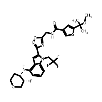 COC(C)(C)c1cc(C(=O)NCc2nc(-c3cc4c(N[C@H]5CCOC[C@H]5F)cccc4n3CC(F)(F)F)no2)cs1